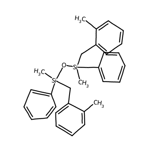 Cc1ccccc1C[Si](C)(O[Si](C)(Cc1ccccc1C)c1ccccc1)c1ccccc1